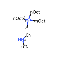 CCCCCCCC[N+](C)(CCCCCCCC)CCCCCCCC.N#CNC#N